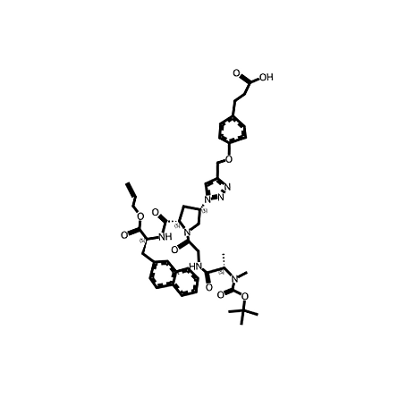 C=CCOC(=O)[C@H](Cc1ccc2ccccc2c1)NC(=O)[C@@H]1C[C@H](n2cc(COc3ccc(CCC(=O)O)cc3)nn2)CN1C(=O)CNC(=O)[C@H](C)N(C)C(=O)OC(C)(C)C